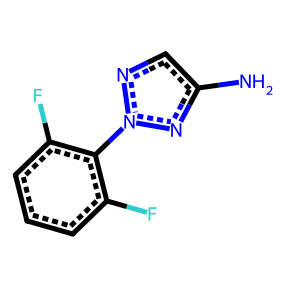 Nc1cnn(-c2c(F)cccc2F)n1